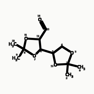 CC1(C)OCC(C2OC(C)(C)OC2C=O)O1